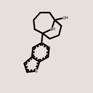 OC12BC(c3ccc4sccc4c3)(CCCC1)CCC2